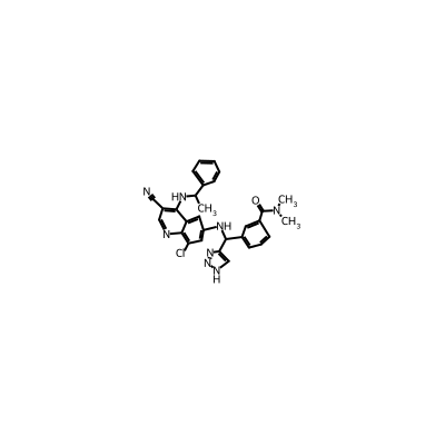 CC(Nc1c(C#N)cnc2c(Cl)cc(NC(c3cccc(C(=O)N(C)C)c3)c3c[nH]nn3)cc12)c1ccccc1